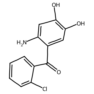 Nc1cc(O)c(O)cc1C(=O)c1ccccc1Cl